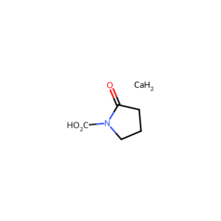 O=C(O)N1CCCC1=O.[CaH2]